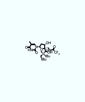 Cc1cn([C@H]2C[C@H](O)[C@@](CNC(=O)C(F)(F)F)(C(O)[Si](C)(CC(C)(C)C)C(C)(C)C)O2)c(=O)[nH]c1=O